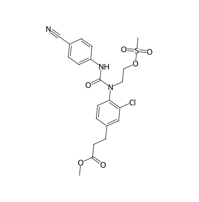 COC(=O)CCc1ccc(N(CCOS(C)(=O)=O)C(=O)Nc2ccc(C#N)cc2)c(Cl)c1